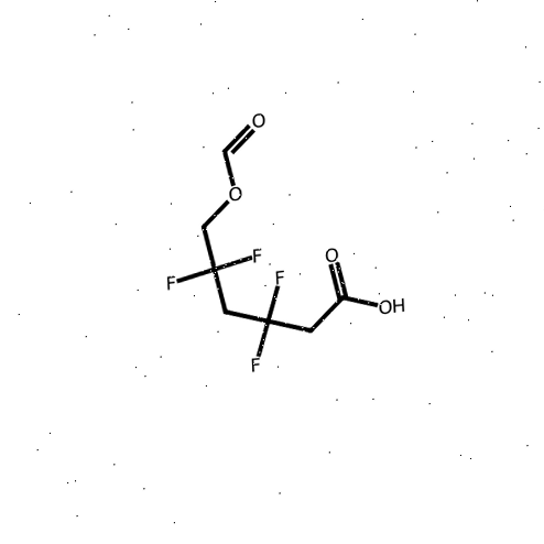 O=COCC(F)(F)CC(F)(F)CC(=O)O